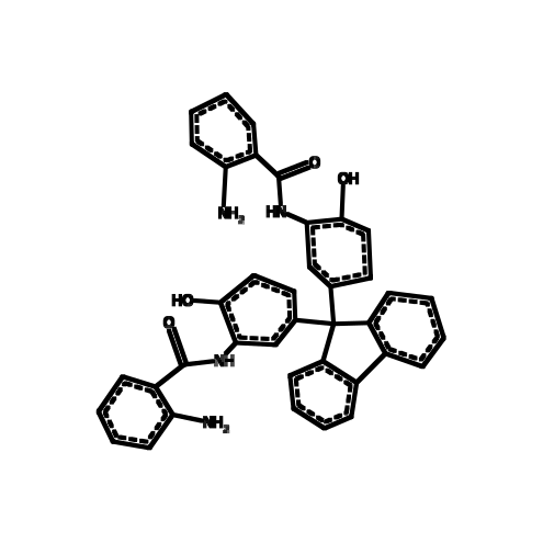 Nc1ccccc1C(=O)Nc1cc(C2(c3ccc(O)c(NC(=O)c4ccccc4N)c3)c3ccccc3-c3ccccc32)ccc1O